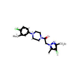 CCOC(=O)c1nn(CC(=O)N2CCN(c3ccc(Cl)c(OC)c3)CC2)c(C)c1Cl